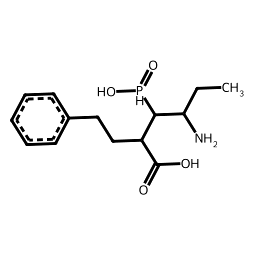 CCC(N)C(C(CCc1ccccc1)C(=O)O)[PH](=O)O